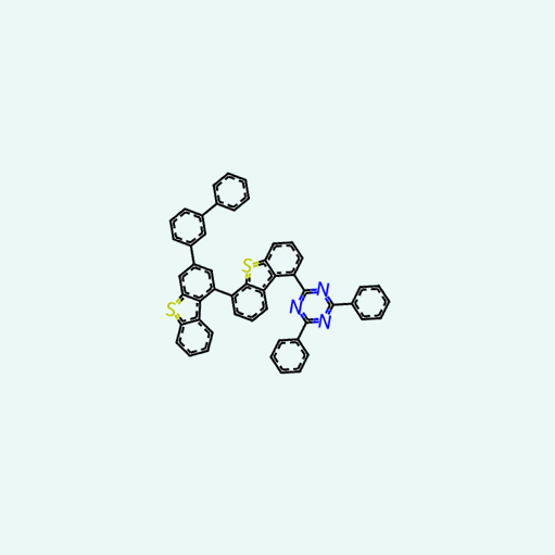 c1ccc(-c2cccc(-c3cc(-c4cccc5c4sc4cccc(-c6nc(-c7ccccc7)nc(-c7ccccc7)n6)c45)c4c(c3)sc3ccccc34)c2)cc1